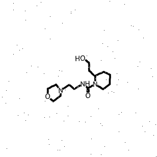 O=C(NCCN1CCOCC1)N1CCCCC1CCO